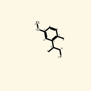 CCOc1ccc(C)c([C](C)CF)c1